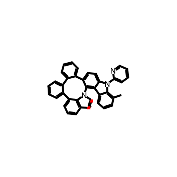 Cc1cccc2c3c(ccc4c5ccccc5c5ccccc5c5cccc6c7ccccc7n(c56)c43)n(-c3ccccn3)c12